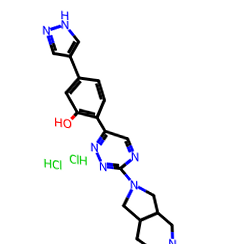 CN1CCC2CN(c3ncc(-c4ccc(-c5cn[nH]c5)cc4O)nn3)CC2C1.Cl.Cl